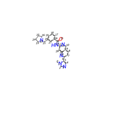 Cn1cncc1-c1ccc2cnc(NC(=O)c3cccc(CN4CCCC4)c3)cc2n1